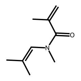 C=C(C)C(=O)N(C)C=C(C)C